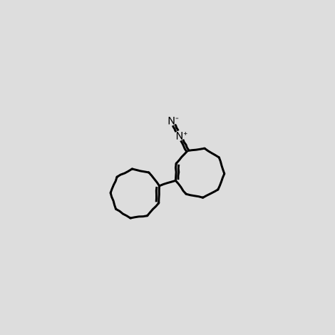 [N-]=[N+]=C1C=C(C2=CCCCCCCC2)CCCCCC1